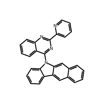 c1ccc(-c2nc(-n3c4ccccc4c4cc5ccccc5cc43)c3ccccc3n2)nc1